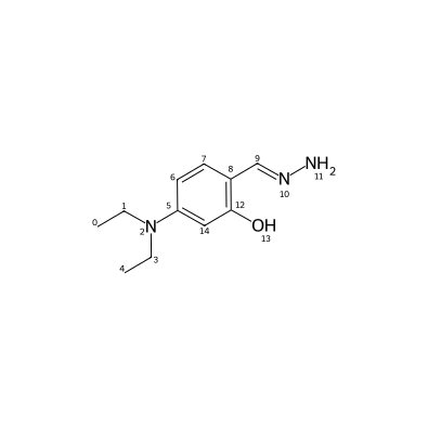 CCN(CC)c1ccc(C=NN)c(O)c1